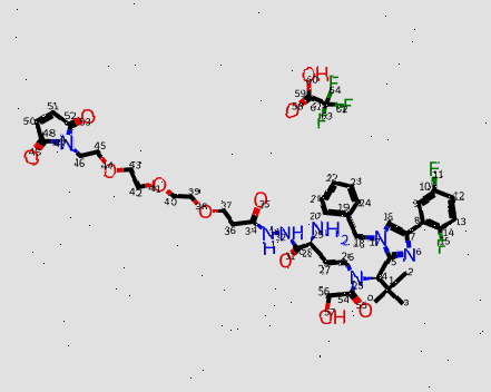 CC(C)(C)[C@H](c1nc(-c2cc(F)ccc2F)cn1Cc1ccccc1)N(CC[C@H](N)C(=O)NNC(=O)CCOCCOCCOCCN1C(=O)C=CC1=O)C(=O)CO.O=C(O)C(F)(F)F